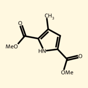 COC(=O)c1cc(C)c(C(=O)OC)[nH]1